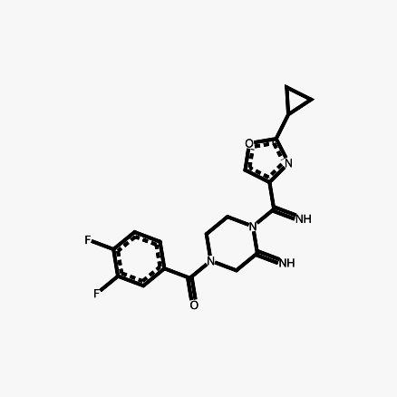 N=C1CN(C(=O)c2ccc(F)c(F)c2)CCN1C(=N)c1coc(C2CC2)n1